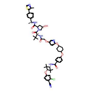 Cc1ncsc1-c1ccc([C@H](C)NC(=O)C2C[C@@H](O)CN2C(=O)[C@@H](NC(=O)COc2ccc(OC3CCC(Oc4ccc(C(=O)N[C@H]5C(C)(C)[C@H](Oc6ccc(C#N)c(Cl)c6)C5(C)C)cc4)CC3)nc2)C(C)(C)C)cc1